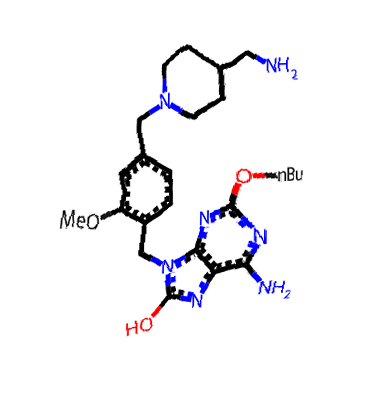 CCCCOc1nc(N)c2nc(O)n(Cc3ccc(CN4CCC(CN)CC4)cc3OC)c2n1